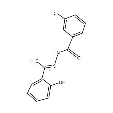 C/C(=N\NC(=O)c1cccc(Cl)c1)c1ccccc1O